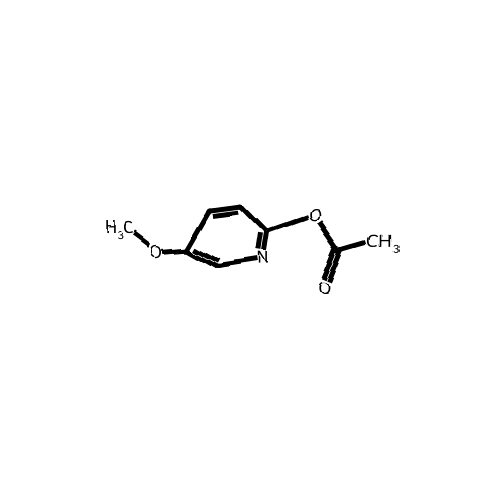 COc1ccc(OC(C)=O)nc1